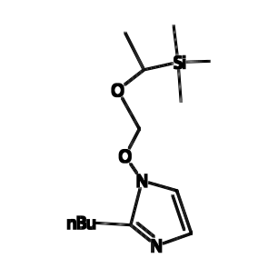 CCCCc1nccn1OCOC(C)[Si](C)(C)C